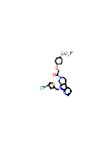 O=C(CO[C@H]1CC[C@@H](C(=O)O)CC1)N1CCc2c(n(Cc3cc(Cl)cs3)c3ncccc23)C1